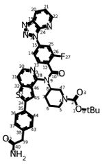 CC(C)(C)OC(=O)N1CCC[C@@H](N(C(=O)c2ccc(-n3nnc4cccnc43)cc2F)c2nccc3sc(-c4ccc(CC(N)=O)cc4)cc23)C1